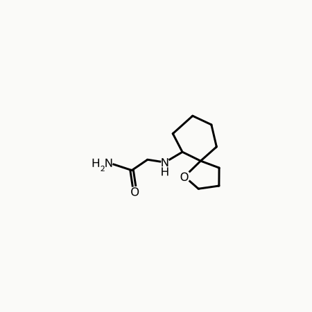 NC(=O)CNC1CCCCC12CCCO2